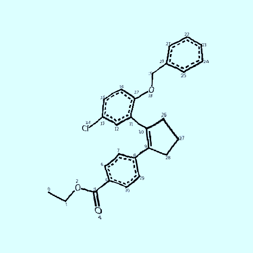 CCOC(=O)c1ccc(C2=C(c3cc(Cl)ccc3OCc3ccccc3)CCC2)cc1